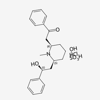 CN1[C@@H](CC(=O)c2ccccc2)CCC[C@H]1C[C@H](O)c1ccccc1.Cl.O=S(=O)(O)O